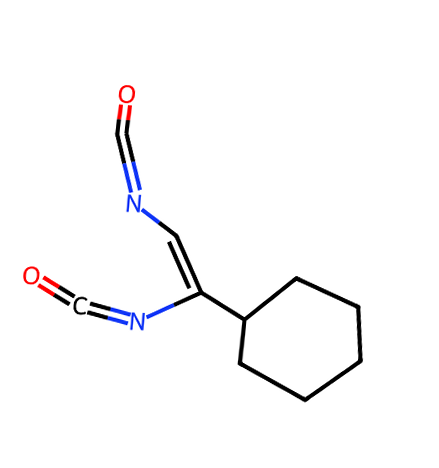 O=C=NC=C(N=C=O)C1CCCCC1